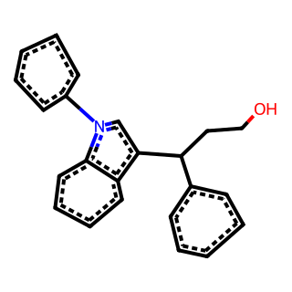 OCCC(c1ccccc1)c1cn(-c2ccccc2)c2ccccc12